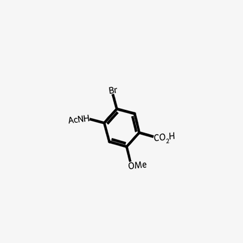 COc1cc(NC(C)=O)c(Br)cc1C(=O)O